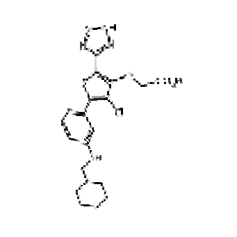 O=C(O)COc1c(-c2nn[nH]n2)sc(-c2cccc(NCC3CCCCC3)c2)c1Cl